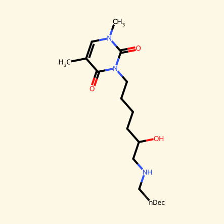 CCCCCCCCCCCNCC(O)CCCCn1c(=O)c(C)cn(C)c1=O